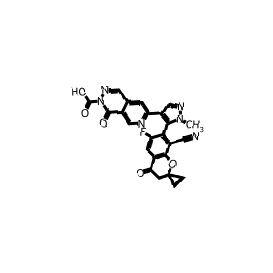 Cn1ncc(-c2cc3cnn(C(=O)O)c(=O)c3cn2)c1-c1c(F)cc2c(c1C#N)OC1(CC1)CC2=O